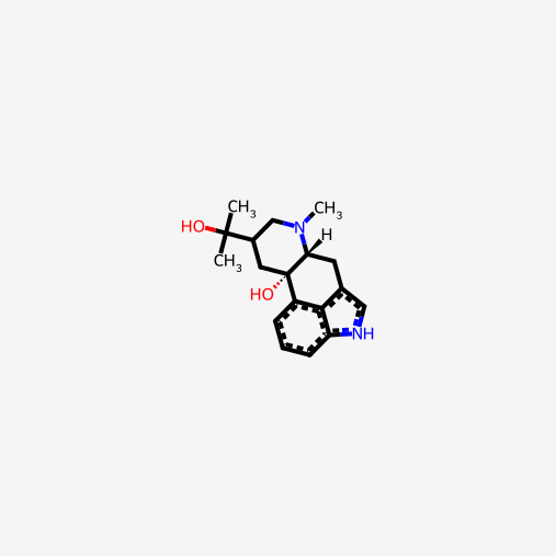 CN1CC(C(C)(C)O)C[C@]2(O)c3cccc4[nH]cc(c34)C[C@@H]12